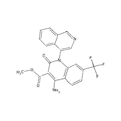 COC(=O)c1c(N)c2ccc(C(F)(F)F)cc2n(-c2cncc3ccccc23)c1=O